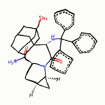 NC(=O)[C@@H]1C[C@@H]2C[C@@H]2N1C(=O)[C@@H](NC(c1ccccc1)(c1ccccc1)c1ccccc1)C12CC3CC(CC(O)(C3)C1)C2